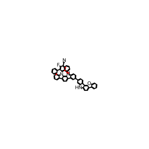 N#Cc1cc(C#N)c(-n2c3ccccc3c3ccc4c5cc(-c6ccc7c(c6)[nH]c6ccc8c9ccccc9oc8c67)ccc5n(-c5ccccc5)c4c32)c(-c2ccccc2)c1F